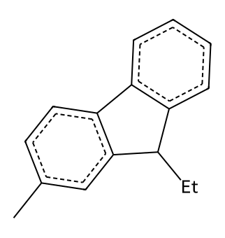 CCC1c2ccccc2-c2ccc(C)cc21